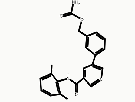 Cc1cccc(C)c1NC(=O)c1cncc(-c2cccc(COC(N)=O)c2)c1